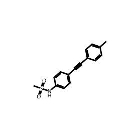 Cc1ccc(C#Cc2ccc(NS(C)(=O)=O)cc2)cc1